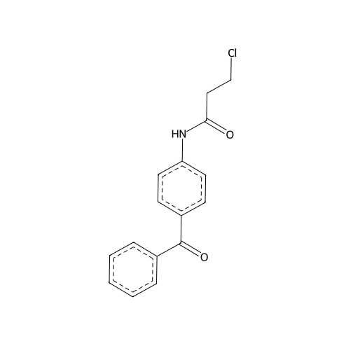 O=C(CCCl)Nc1ccc(C(=O)c2ccccc2)cc1